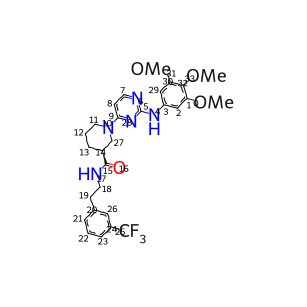 COc1cc(Nc2nccc(N3CCC[C@H](C(=O)NCCc4cccc(C(F)(F)F)c4)C3)n2)cc(OC)c1OC